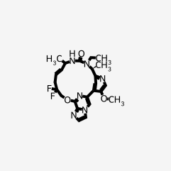 CCN1C(=O)NC(C)/C=C/CC(F)(F)COc2nc(cn3ccnc23)-c2cc(ncc2OC)[C@H]1C